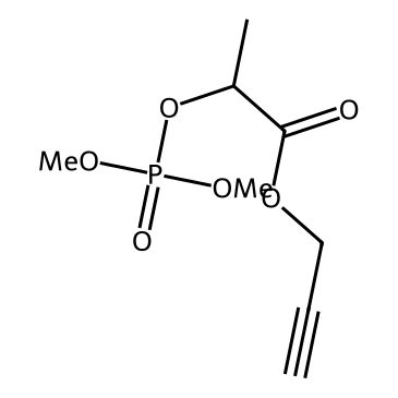 C#CCOC(=O)C(C)OP(=O)(OC)OC